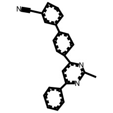 Cc1nc(-c2ccccc2)cc(-c2ccc(-c3cccc(C#N)c3)cc2)n1